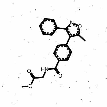 COC(=O)CNC(=O)c1ccc(-c2c(-c3ccccc3)noc2C)cc1